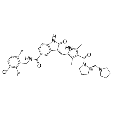 Cc1[nH]c(C=C2C(=O)Nc3ccc(C(=O)NCc4c(F)ccc(Cl)c4F)cc32)c(C)c1C(=O)N1CCC[C@@H]1CN1CCCC1